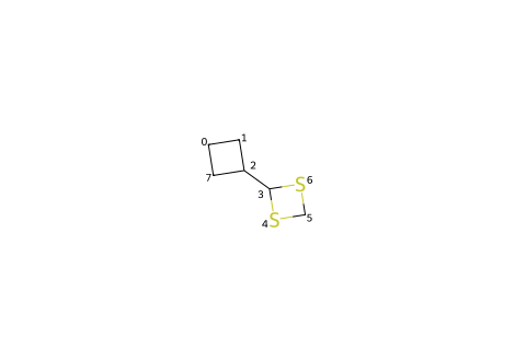 C1CC(C2SCS2)C1